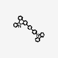 c1ccc2c(c1)N=C1c3cc(-c4ccc(-c5ccc(-n6c7ccccc7c7ccccc76)cc5)cc4)ccc3-c3ccccc3C12